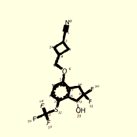 N#CC1CC(COc2ccc(SC(F)(F)F)c3c2CC(F)(F)[C@@H]3O)C1